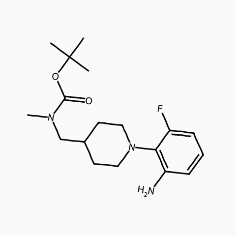 CN(CC1CCN(c2c(N)cccc2F)CC1)C(=O)OC(C)(C)C